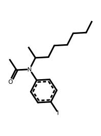 CCCCCCC(C)N(C(C)=O)c1ccc(I)cc1